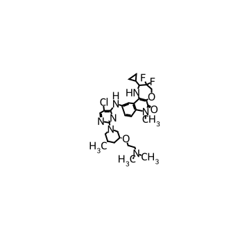 C[C@H]1C[C@@H](OCCN(C)C)CN(c2ncc(Cl)c(Nc3ccc4c(c3)c3c(c(=O)n4C)OCC(F)(F)C(C4CC4)N3)n2)C1